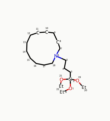 CCO[Si](CCCN1CCCCCCCCCCCC1)(OCC)OCC